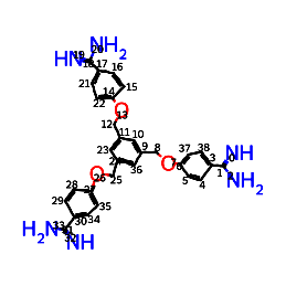 N=C(N)c1ccc(OCc2cc(COc3ccc(C(=N)N)cc3)cc(COc3ccc(C(=N)N)cc3)c2)cc1